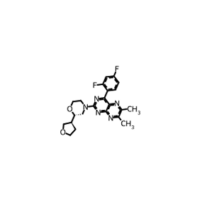 Cc1nc2nc(N3CCO[C@@H]([C@H]4CCOC4)C3)nc(-c3ccc(F)cc3F)c2nc1C